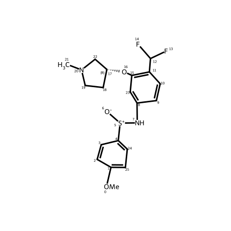 COc1ccc([S+]([O-])Nc2ccc(C(F)F)c(O[C@@H]3CCN(C)C3)c2)cc1